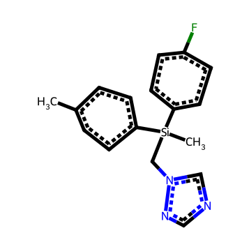 Cc1ccc([Si](C)(Cn2cncn2)c2ccc(F)cc2)cc1